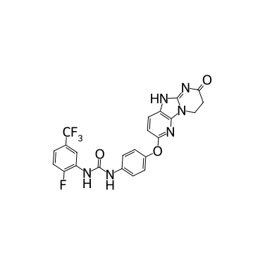 O=C1CCN2C(=N1)Nc1ccc(Oc3ccc(NC(=O)Nc4cc(C(F)(F)F)ccc4F)cc3)nc12